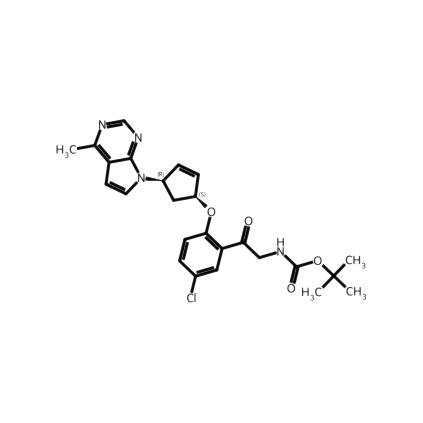 Cc1ncnc2c1ccn2[C@H]1C=C[C@@H](Oc2ccc(Cl)cc2C(=O)CNC(=O)OC(C)(C)C)C1